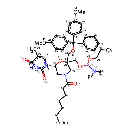 CCCCCCCCCCCCCCCC(=O)N1C[C@H](n2cc(C)c(=O)[nH]c2=O)O[C@](COP(OCCC#N)N(C(C)C)C(C)C)(COC(c2ccccc2)(c2ccc(OC)cc2)c2ccc(OC)cc2)C1